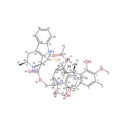 COc1c(C)cc2c(c1O)[C@H]1[C@@H]3[C@@H]4SC[C@]5(N[C@@H](C)Cc6c5[nH]c5ccccc65)C(=O)OC[C@@H](c5c6c(c(C)c(OC(C)=O)c54)OCO6)N3C(O)(C2)CN1C